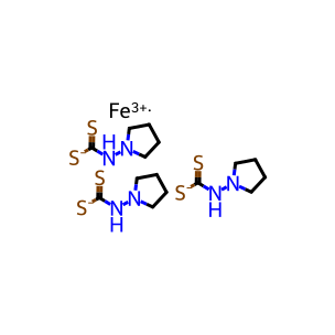 S=C([S-])NN1CCCC1.S=C([S-])NN1CCCC1.S=C([S-])NN1CCCC1.[Fe+3]